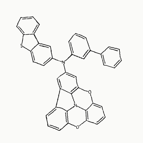 c1ccc(-c2cccc(N(c3ccc4sc5ccccc5c4c3)c3cc4c5c(c3)c3cccc6c3n5-c3c(cccc3O4)O6)c2)cc1